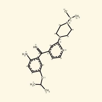 CC(C)Oc1ccc(N)c(C(=N)c2ccnc(N3CCN([S+](C)[O-])CC3)c2)c1